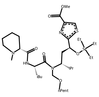 CCCCCOCN(C(=O)[C@@H](NC(=O)[C@H]1CCCCN1C)C(C)CC)[C@H](C[C@H](O[Si](CC)(CC)CC)c1nc(C(=O)OC)cs1)C(C)C